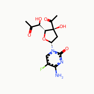 CC(=O)C(O)[C@H]1O[C@@H](n2cc(F)c(N)nc2=O)C[C@@]1(O)C(C)=O